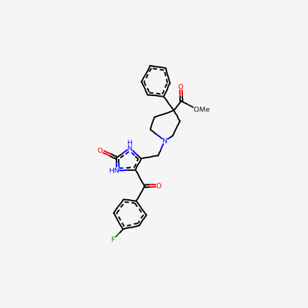 COC(=O)C1(c2ccccc2)CCN(Cc2[nH]c(=O)[nH]c2C(=O)c2ccc(F)cc2)CC1